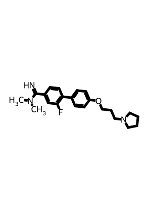 CN(C)C(=N)c1ccc(-c2ccc(OCCCN3CCCC3)cc2)c(F)c1